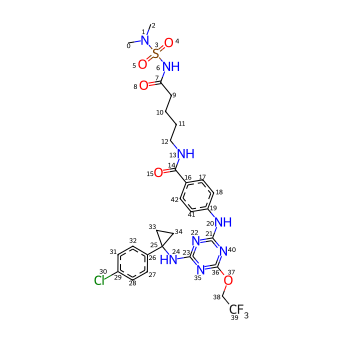 CN(C)S(=O)(=O)NC(=O)CCCCNC(=O)c1ccc(Nc2nc(NC3(c4ccc(Cl)cc4)CC3)nc(OCC(F)(F)F)n2)cc1